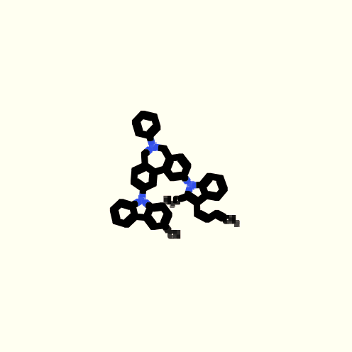 C=C/C=C\c1c(C)n(-c2ccc3c(c2)-c2cc(-n4c5ccccc5c5cc(C#N)ccc54)ccc2CN(c2ccccc2)C3)c2ccccc12